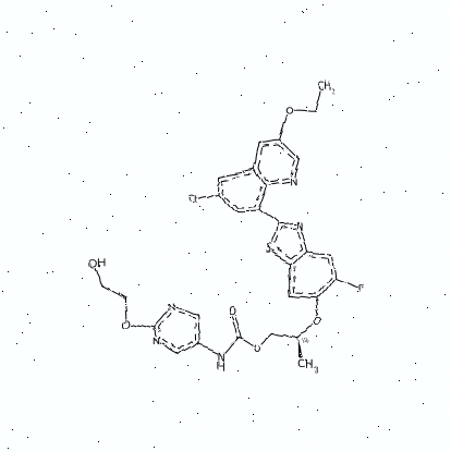 CCOc1cnc2c(-c3nc4cc(F)c(O[C@@H](C)COC(=O)Nc5cnc(OCCO)nc5)cc4s3)cc(Cl)cc2c1